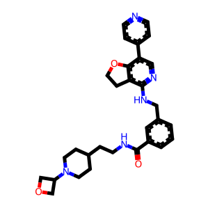 O=C(NCCC1CCN(C2COC2)CC1)c1cccc(CNc2ncc(-c3ccncc3)c3c2CCO3)c1